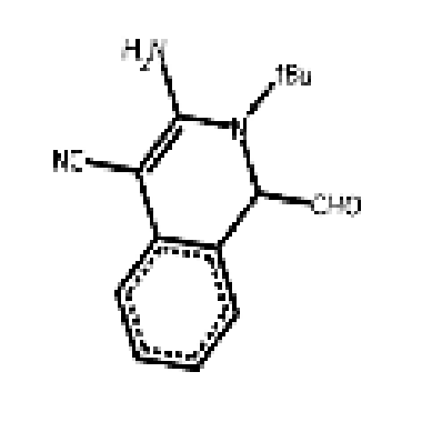 CC(C)(C)N1C(N)=C(C#N)c2ccccc2C1C=O